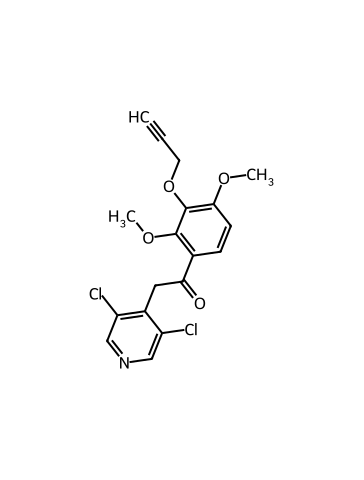 C#CCOc1c(OC)ccc(C(=O)Cc2c(Cl)cncc2Cl)c1OC